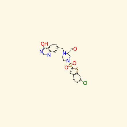 O=CC1CN(S(=O)(=O)c2cc3ccc(Cl)cc3s2)CCN1Cc1ccc2c(O)ncnc2c1